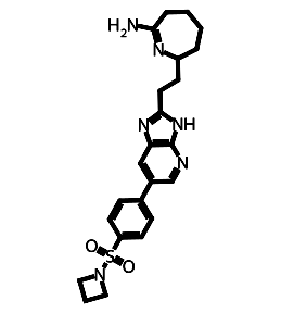 NC1=NC(CCc2nc3cc(-c4ccc(S(=O)(=O)N5CCC5)cc4)cnc3[nH]2)CCCC1